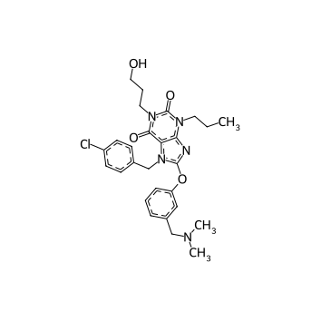 CCCn1c(=O)n(CCCO)c(=O)c2c1nc(Oc1cccc(CN(C)C)c1)n2Cc1ccc(Cl)cc1